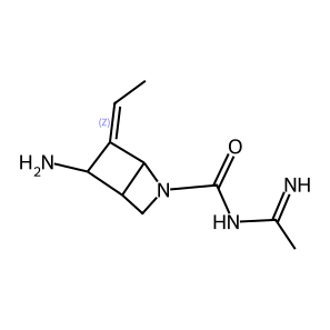 C/C=C1/C(N)C2CN(C(=O)NC(C)=N)C12